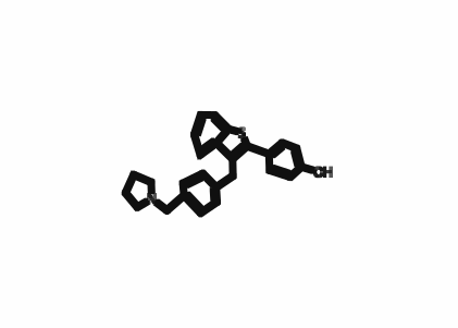 Oc1ccc(-c2sc3ccccc3c2Cc2ccc(CN3CCCC3)cc2)cc1